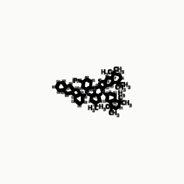 Cc1cc2c3c(c1)N(c1ccc4c(c1)C(C)(C)CCC4(C)C)c1c(sc4cc5c(cc14)C(C)(C)CCC5(C)C)B3c1ccc(C(C)C)cc1N2c1cccc2c1Cc1cc3ccccc3cc1-2